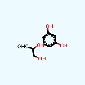 O=CC(O)CO.Oc1cccc(O)c1